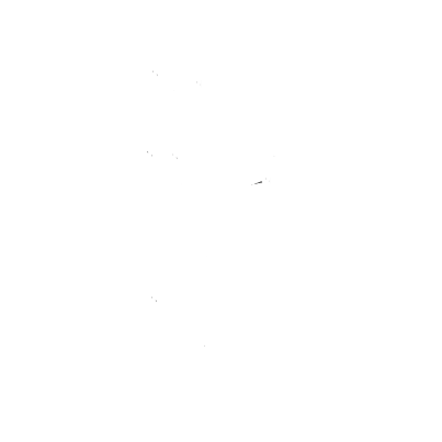 CN(C(=O)c1ccc2nc(N)c3cnn(C)c3c2c1)[C@@H]1COc2cc(-c3cncc(C(F)(F)F)c3)ccc21